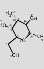 C[C@@H]1OC(CO)[C@H](O)[C@H](C)C1O